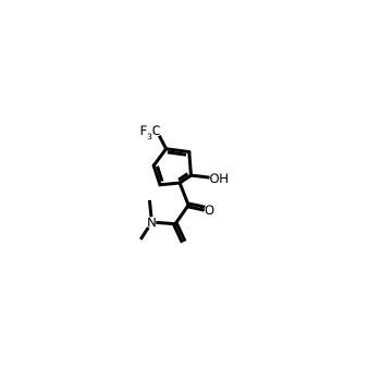 C=C(C(=O)c1ccc(C(F)(F)F)cc1O)N(C)C